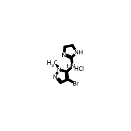 Cl.Cn1ncc(Br)c1NC1=NCCN1